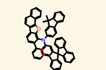 CC1(C)c2ccccc2-c2ccc(N(c3ccc4c(c3)C3(c5ccccc5-c5ccccc53)c3ccccc3-4)c3c(-c4ccccc4)ccc4c3oc3c5ccccc5ccc43)cc21